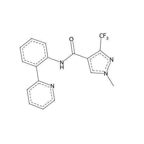 Cn1cc(C(=O)Nc2ccccc2-c2ccccn2)c(C(F)(F)F)n1